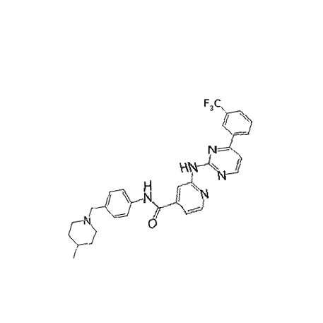 CC1CCN(Cc2ccc(NC(=O)c3ccnc(Nc4nccc(-c5cccc(C(F)(F)F)c5)n4)c3)cc2)CC1